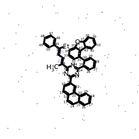 CC/C(=C\C=C(/C)c1nc(-c2ccc3ccc4ccccc4c3c2)nc(-c2ccccc2-c2cccc3oc4ccccc4c23)n1)c1ccccc1